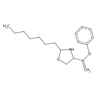 C=C(Oc1ccccc1)C1COC(CCCCCCC)N1